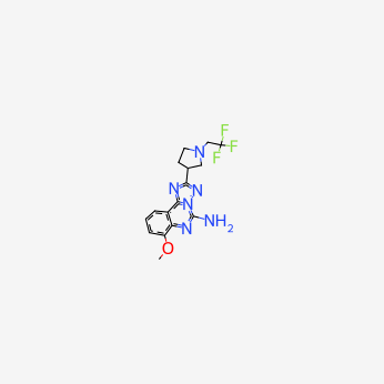 COc1cccc2c1nc(N)n1nc(C3CCN(CC(F)(F)F)C3)nc21